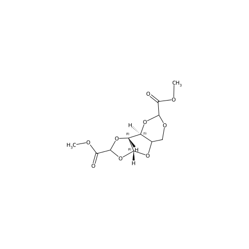 COC(=O)C1O[C@H]2OC3COC(C(=O)OC)O[C@@H]3[C@H]2O1